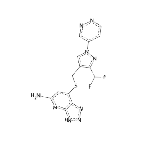 Nc1cc(SCc2cn(-c3ccnnc3)nc2C(F)F)c2nn[nH]c2n1